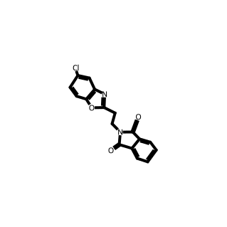 O=C1c2ccccc2C(=O)N1CCc1nc2cc(Cl)ccc2o1